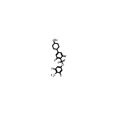 CCCCC1CCC(c2cc(F)c(C(F)(F)Oc3cc(F)c(C(F)(F)F)c(F)c3)c(F)c2)CC1